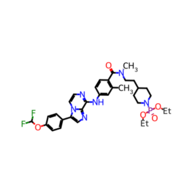 CCOP(=O)(OCC)N1CCC(CCN(C)C(=O)c2ccc(Nc3nccn4c(-c5ccc(OC(F)F)cc5)cnc34)cc2C)CC1